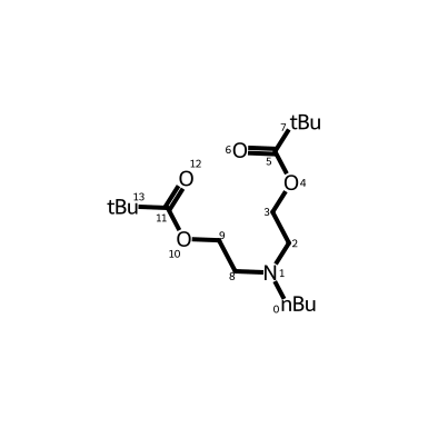 CCCCN(CCOC(=O)C(C)(C)C)CCOC(=O)C(C)(C)C